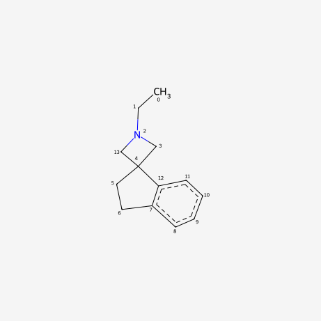 CCN1CC2(CCc3ccccc32)C1